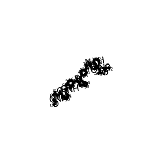 COC(=O)N[C@H](C(=O)N1CCC[C@H]1C(=O)Nc1cc(-c2sc(-c3ccc(-c4cnc([C@@H]5CCCN5C(=O)[C@@H](NC(=O)OC)C(C)C)[nH]4)cc3)c3c2CC2CCC32)ccc1C)C(C)C